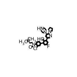 CN(C)CCN(C=O)c1ccc(-c2cc(F)cc(-c3cnc(N4CCCC4)c(N4CCNCC4)c3)c2O)cc1Cl